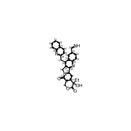 CCC1(O)C(=O)OCc2c1cc1n(c2=O)Cc2c-1nc1ccc(C=N)cc1c2Cc1ccc2ccccc2n1